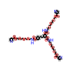 O=C(NCCOCCOCCOCCOC(=O)c1cccnc1)Oc1ccc(/C=C/c2cc(OC(=O)NCCOCCOCCOCCOC(=O)c3cccnc3)cc(OC(=O)NCCOCCOCCOCCOC(=O)c3cccnc3)c2)cc1